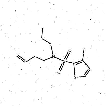 C=CCCN(CCC)S(=O)(=O)c1sccc1C